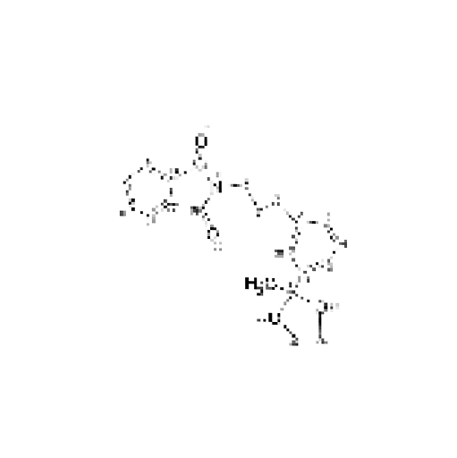 CC1(c2cccc(CCCN3C(=O)c4ccccc4C3=O)c2)OCCO1